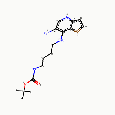 CC(C)(C)OC(=O)NCCCCNc1c(N)cnc2ccsc12